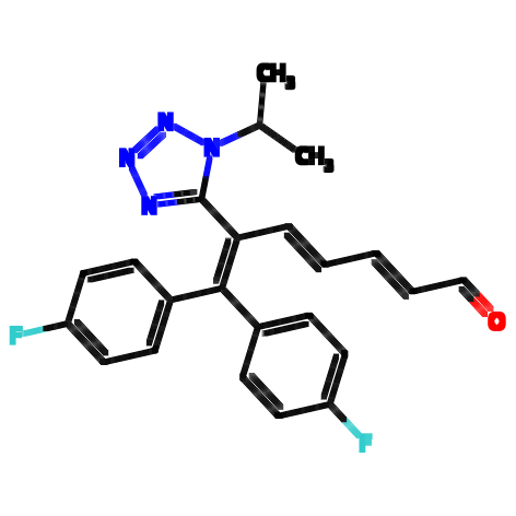 CC(C)n1nnnc1C(/C=C/C=C/C=O)=C(c1ccc(F)cc1)c1ccc(F)cc1